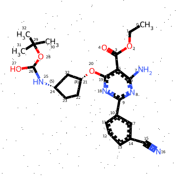 CCOC(=O)c1c(N)nc(-c2cccc(C#N)c2)nc1O[C@@H]1CC[C@H](NC(O)OC(C)(C)C)C1